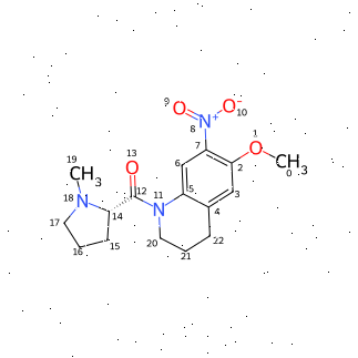 COc1cc2c(cc1[N+](=O)[O-])N(C(=O)[C@@H]1CCCN1C)CCC2